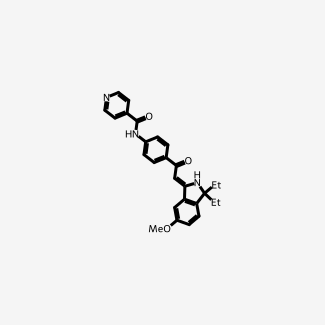 CCC1(CC)N/C(=C\C(=O)c2ccc(NC(=O)c3ccncc3)cc2)c2cc(OC)ccc21